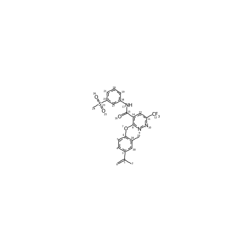 C=C(C)c1ccc(Oc2nnc(C(F)(F)F)cc2C(=O)Nc2cccc(S(C)(=O)=O)c2)c(C)c1